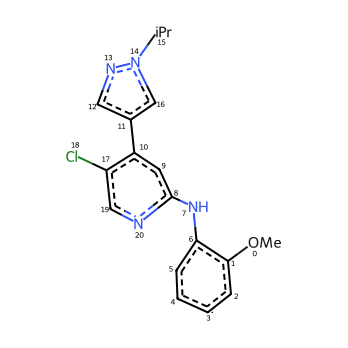 COc1c[c]ccc1Nc1cc(-c2cnn(C(C)C)c2)c(Cl)cn1